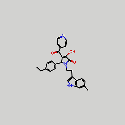 CCc1ccc(C2C(C(=O)c3ccncc3)=C(O)C(=O)N2CCc2c[nH]c3cc(C)ccc23)cc1